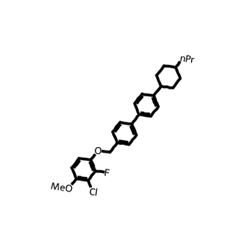 CCCC1CCC(c2ccc(-c3ccc(COc4ccc(OC)c(Cl)c4F)cc3)cc2)CC1